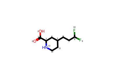 O=C(O)C1CC(CCC(F)F)CCN1